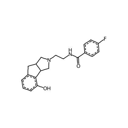 O=C(NCCN1CC2Cc3cccc(O)c3C2C1)c1ccc(F)cc1